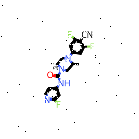 CC1CN(C(=O)Nc2ccnc(F)c2)[C@H](C)CN1c1cc(F)c(C#N)c(F)c1